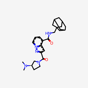 CN(C)[C@@H]1CCN(C(=O)c2cc3c(C(=O)NCC45CC6CC(CC(C6)C4)C5)cccn3n2)C1